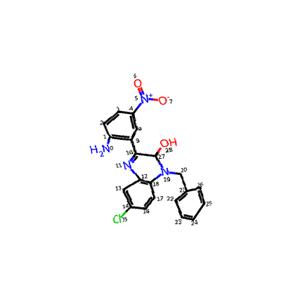 Nc1ccc([N+](=O)[O-])cc1C1=Nc2cc(Cl)ccc2N(Cc2ccccc2)C1O